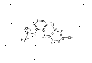 CN(C)Cc1ccccc1Sc1ccc(Cl)cc1Cl